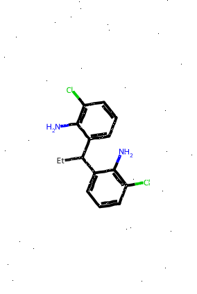 CCC(c1cccc(Cl)c1N)c1cccc(Cl)c1N